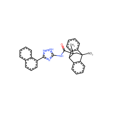 CC1(C(=O)Nc2nc(-c3cccc4ccccc34)n[nH]2)CC2([N+](=O)[O-])c3ccccc3C1c1ccccc12